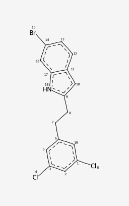 Clc1cc(Cl)cc(CCc2cc3ccc(Br)cc3[nH]2)c1